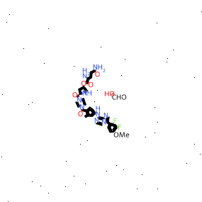 COc1ccc(-c2cnc3c(Nc4ccc(C(=O)N5CCN(C(=O)[C@@H]6C[C@@H](OC(=O)[C@@H](N)CCC(N)=O)CN6)CC5)c(C)c4)nccn23)c(F)c1F.O=CO